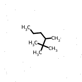 [CH2]C(CCC)C(C)(C)C